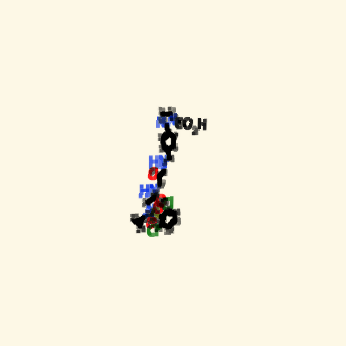 O=C(CNCc1ccc(C2=NCCN2C(=O)O)cc1)CNC(=O)CN(C1CC1)S(=O)(=O)c1c(Cl)cccc1Cl